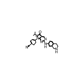 CC(C)n1c(=O)c2cnc(Nc3ccc4c(c3)CNCC4)nc2n1C1=CC=C(C#N)CC1